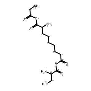 NCC(=O)OC(=O)C(N)CCCCCCC(=O)OC(=O)C(N)CN